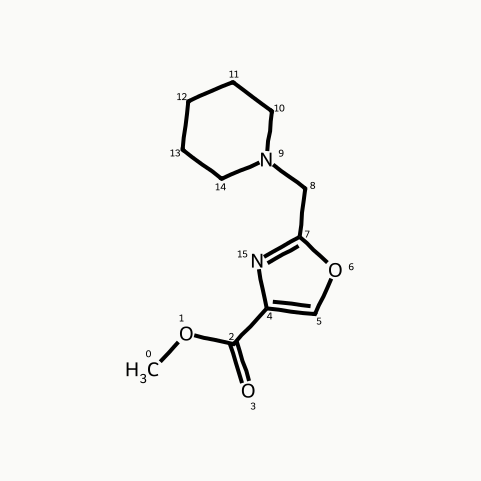 COC(=O)c1coc(CN2CCCCC2)n1